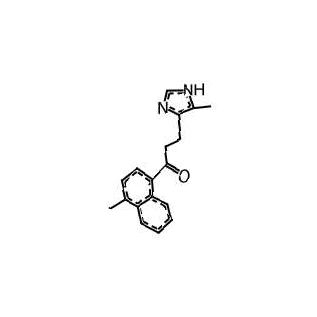 Cc1[nH]cnc1CCC(=O)c1ccc(C)c2ccccc12